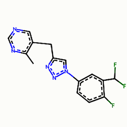 Cc1ncncc1Cc1cn(-c2ccc(F)c(C(F)F)c2)nn1